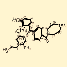 C=CCN1C[C@H](C)N([C@H](c2ccc(C(=O)N3CCCNCC3)cc2)c2cccc(O)c2)C[C@H]1C